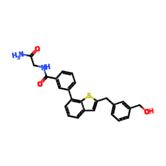 NC(=O)CNC(=O)c1cccc(-c2cccc3cc(Cc4cccc(CO)c4)sc23)c1